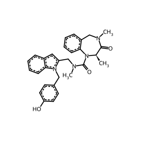 C[C@@H]1C(=O)N(C)Cc2ccccc2N1C(=O)N(C)Cc1cc2ccccc2n1Cc1ccc(O)cc1